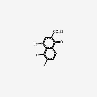 CCOC(=O)c1cn(CC)c2c(F)c(F)ccc2c1=O